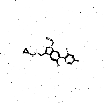 CC(C)(C)Cn1cc(CNSC2CC2)c2cc(F)c(-c3ncc(F)cc3F)cc21